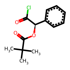 CC(C)(C)C(=O)O[C@@H](C(=O)Cl)c1ccccc1